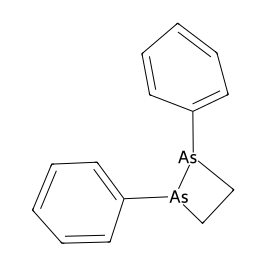 c1ccc([As]2CC[As]2c2ccccc2)cc1